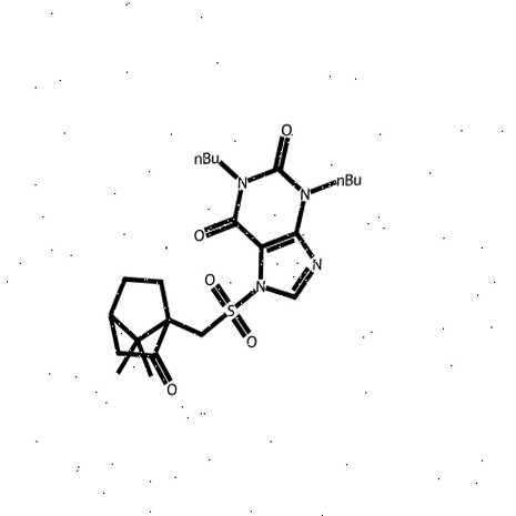 CCCCn1c(=O)c2c(ncn2S(=O)(=O)CC23CCC(CC2=O)C3(C)C)n(CCCC)c1=O